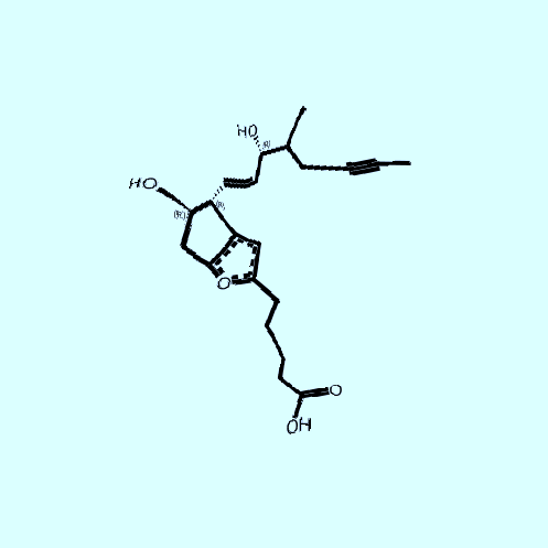 CC#CCC(C)[C@@H](O)C=C[C@@H]1c2cc(CCCCC(=O)O)oc2C[C@H]1O